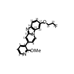 COc1ncccc1-c1ccn2c(c1)nc1ccc(OCCF)cc12